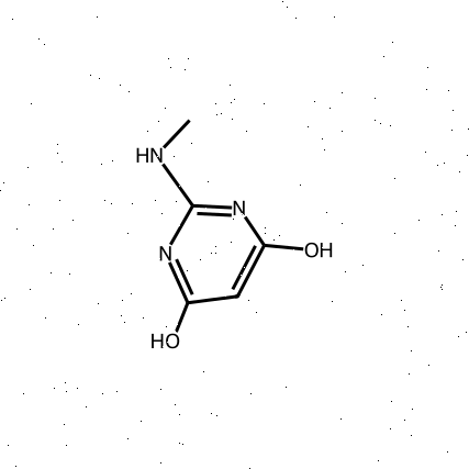 CNc1nc(O)cc(O)n1